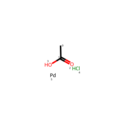 CC(=O)O.Cl.[Pd]